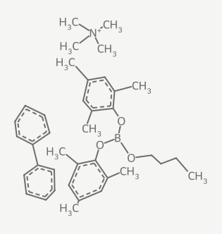 CCCCOB(Oc1c(C)cc(C)cc1C)Oc1c(C)cc(C)cc1C.C[N+](C)(C)C.c1ccc(-c2ccccc2)cc1